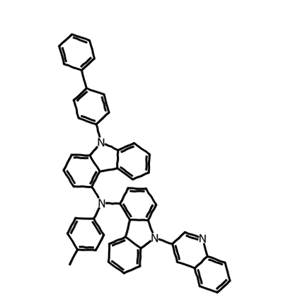 Cc1ccc(N(c2cccc3c2c2ccccc2n3-c2ccc(-c3ccccc3)cc2)c2cccc3c2c2ccccc2n3-c2cnc3ccccc3c2)cc1